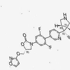 N#C[C@]1(c2ccc(-c3c(F)cc(N4C[C@H](COc5ccon5)OC4=O)cc3F)cn2)[C@@H]2CNC[C@@H]21